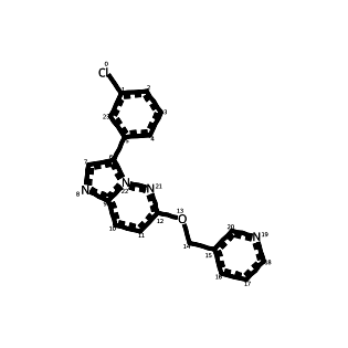 Clc1cccc(-c2cnc3ccc(OCc4cccnc4)nn23)c1